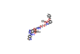 CC(C)(C)OC(=O)N(CCOCCOCCNCCOc1cc2ncnc(Nc3ccc4scnc4c3)c2cc1S(=O)(=O)C(C)(C)C)Cc1cccc(OCc2ccccc2)c1